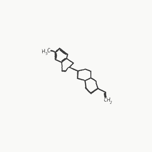 C=CC1CCC2CC(C3CCc4cc(C)ccc4C3)CCC2C1